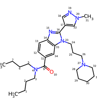 CCCCN(CCCC)C(=O)c1ccc2nc(-c3cnn(C)c3)n(CCCN3CCCCC3)c2c1